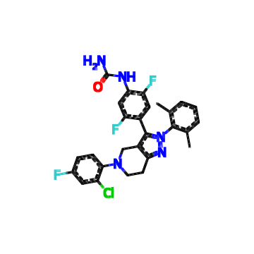 Cc1cccc(C)c1-n1nc2c(c1-c1cc(F)c(NC(N)=O)cc1F)CN(c1ccc(F)cc1Cl)CC2